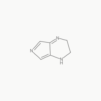 C1=NC=C2NCCN=C12